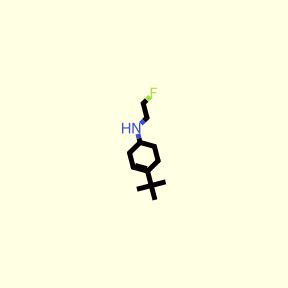 CC(C)(C)C1=CCC(NCCF)CC1